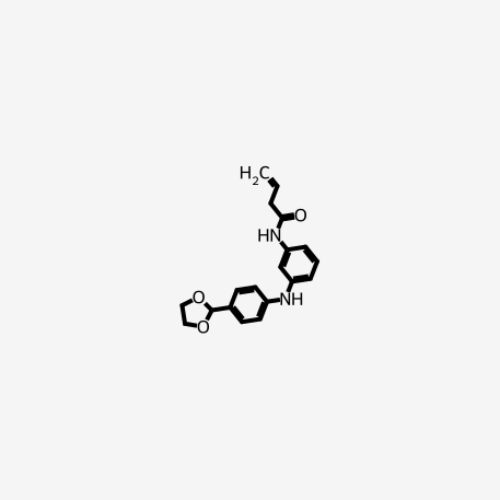 C=CCC(=O)Nc1cccc(Nc2ccc(C3OCCO3)cc2)c1